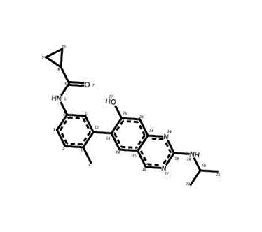 Cc1ccc(NC(=O)C2CC2)cc1-c1cc2cnc(NC(C)C)nc2cc1O